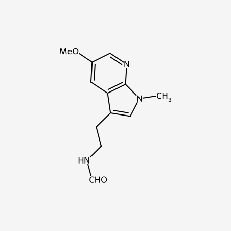 COc1cnc2c(c1)c(CCNC=O)cn2C